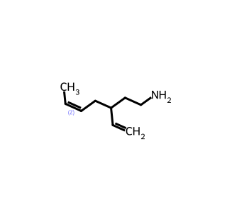 C=CC(C/C=C\C)CCN